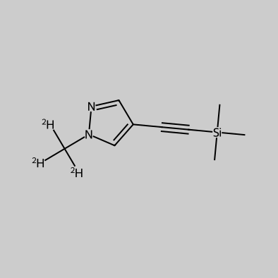 [2H]C([2H])([2H])n1cc(C#C[Si](C)(C)C)cn1